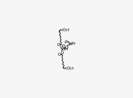 CCCCCCCC/C=C\CCCCCCCC(=O)OCC(COC(=O)CCCCCCC/C=C\CCCCCCCC)NC(=O)OCCN(C(C)C)C(C)C